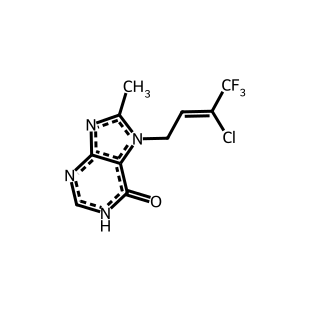 Cc1nc2nc[nH]c(=O)c2n1CC=C(Cl)C(F)(F)F